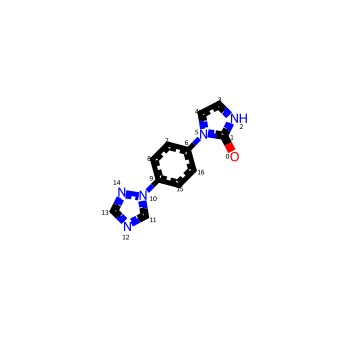 O=c1[nH]ccn1-c1ccc(-n2cncn2)cc1